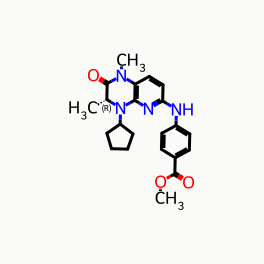 COC(=O)c1ccc(Nc2ccc3c(n2)N(C2CCCC2)[C@H](C)C(=O)N3C)cc1